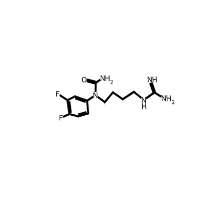 N=C(N)NCCC[CH]N(C(N)=O)c1ccc(F)c(F)c1